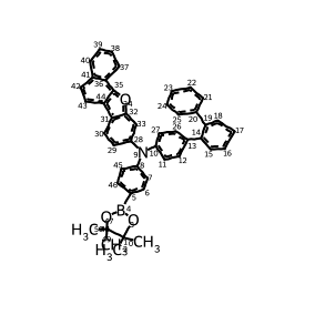 CC1(C)OB(c2ccc(N(c3ccc(-c4ccccc4-c4ccccc4)cc3)c3ccc4c(c3)oc3c5ccccc5ccc43)cc2)OC1(C)C